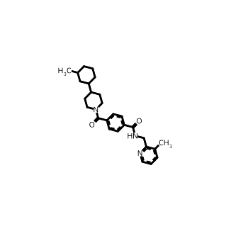 Cc1cccnc1CNC(=O)c1ccc(C(=O)N2CCC(C3CCCC(C)C3)CC2)cc1